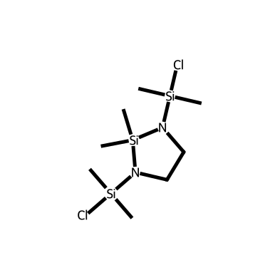 C[Si](C)(Cl)N1CCN([Si](C)(C)Cl)[Si]1(C)C